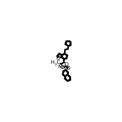 CC(N)C(OS(=O)(=O)c1ccc2ccccc2c1)c1ccc(CCc2ccccc2)c2ccoc12